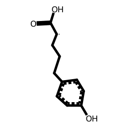 O=C(O)[CH]CCCc1ccc(O)cc1